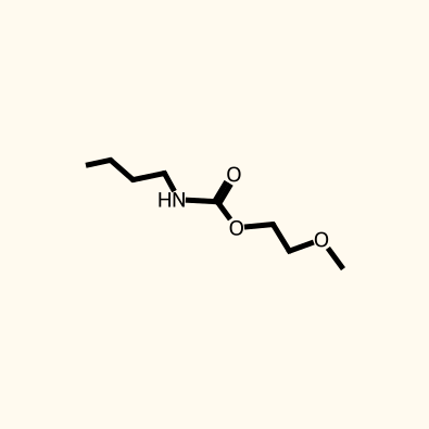 CCCCNC(=O)OCCOC